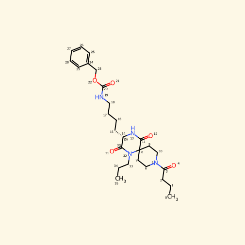 CCCC(=O)N1CCC2(CC1)C(=O)N[C@@H](CCCCNC(=O)OCc1ccccc1)C(=O)N2CCC